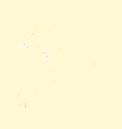 COC(=O)c1ccc(NS(=O)(=O)C(F)(F)F)c(NS(=O)(=O)c2cc(Cl)sc2Cl)c1